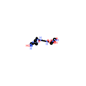 O=C(CNC1(c2ccc(-c3nc4c(cc3-c3ccccc3)C3=NNC(O)N3C=C4)cc2)CCC1)NCCCCCCNC(=O)COc1cccc2c1C(=O)N([C@H]1CCCC(=O)NC1=O)C2O